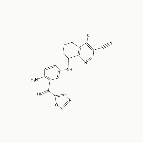 N#Cc1cnc2c(c1Cl)CCCC2Nc1ccc(N)c(C(=N)c2cnco2)c1